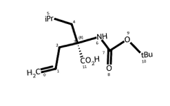 C=CC[C@@](CC(C)C)(NC(=O)OC(C)(C)C)C(=O)O